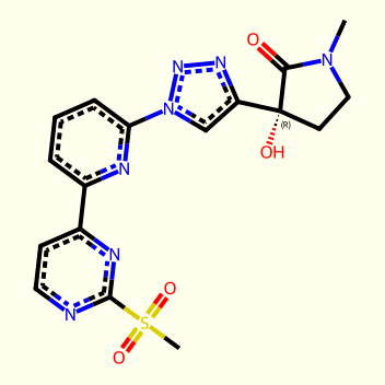 CN1CC[C@@](O)(c2cn(-c3cccc(-c4ccnc(S(C)(=O)=O)n4)n3)nn2)C1=O